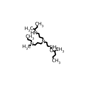 CCCC(C)O[SiH2]CCN(CCCNC(C)CC)CCCN(C)CCC